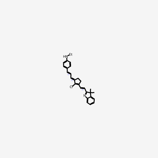 CCNc1ccc(/C=C/C=C2\CCC(/C=C/C3=Nc4ccccc4C3(C)C)=C2Cl)cc1